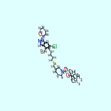 CC(C)(C)OC(=O)N1CCC[C@@H](CSCCCCc2c(Cl)cc3c(cnn3C3CCCCO3)c2Br)C1